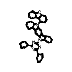 c1ccc(-c2nc(-c3ccccc3)nc(-n3c4ccccc4c4cc5c(cc43)c3ccccc3n5-c3cccc4oc5ccccc5c34)n2)cc1